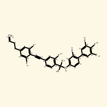 C=CCCc1cc(F)c(C#Cc2ccc(C(F)(F)Oc3ccc(-c4cc(F)c(F)c(F)c4)c(F)c3)c(F)c2)c(F)c1